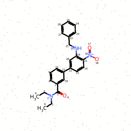 CCN(CC)C(=O)c1cccc(-c2ccc([N+](=O)[O-])c(NCc3ccccc3)c2)c1